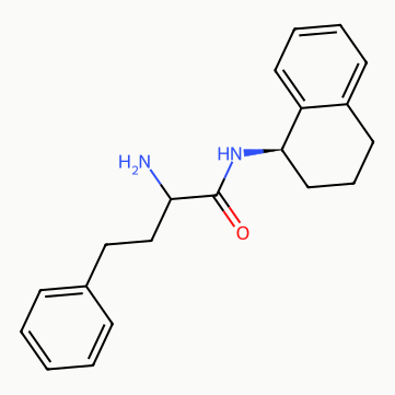 NC(CCc1ccccc1)C(=O)N[C@@H]1CCCc2ccccc21